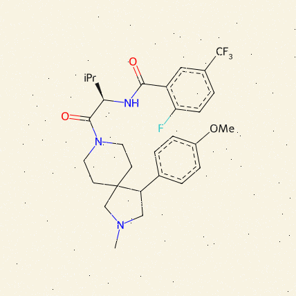 COc1ccc(C2CN(C)CC23CCN(C(=O)[C@H](NC(=O)c2cc(C(F)(F)F)ccc2F)C(C)C)CC3)cc1